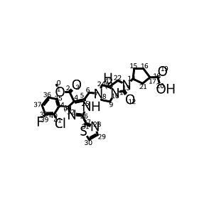 COC(=O)C1=C(CN2CCN3C(=O)N(C4CCC(C(=O)O)C4)C[C@@H]3C2)NC(c2nccs2)=N[C@H]1c1cccc(F)c1Cl